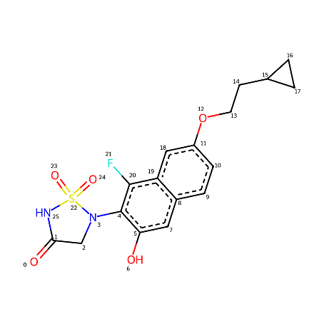 O=C1CN(c2c(O)cc3ccc(OCCC4CC4)cc3c2F)S(=O)(=O)N1